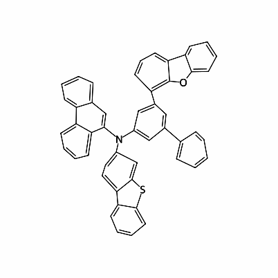 c1ccc(-c2cc(-c3cccc4c3oc3ccccc34)cc(N(c3ccc4c(c3)sc3ccccc34)c3cc4ccccc4c4ccccc34)c2)cc1